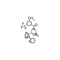 Cc1cc(C(=O)N(CC2CC2)CC(C)c2ncnn2-c2ccccn2)cc(C(F)(F)F)c1